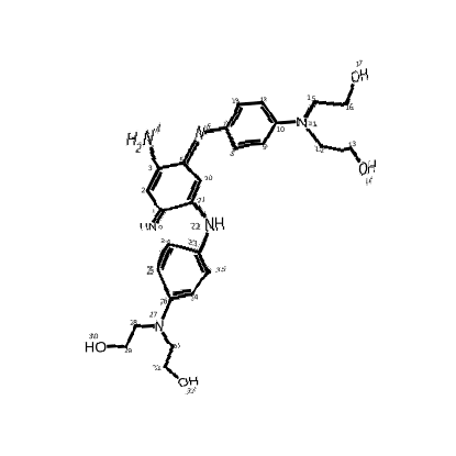 N=C1C=C(N)C(=Nc2ccc(N(CCO)CCO)cc2)C=C1Nc1ccc(N(CCO)CCO)cc1